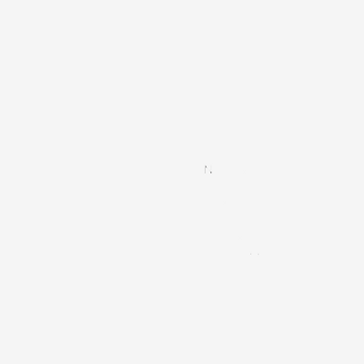 c1ccc2c(c1)ccc1cc(N(c3ccc(-c4cc5ccccc5c5ccccc45)cc3)c3cccc4c3ccc3c5ccccc5oc43)ccc12